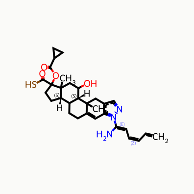 C=C/C=C\C=C(/N)n1ncc2c1C=C1CCC3[C@H](C(O)CC4(C)[C@H]3CCC4(OC(=O)C3CC3)C(=O)S)C1(C)C2